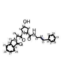 C[C@@H](C(=O)N1C[C@H](O)C[C@H]1C(=O)NC/C=C/c1ccccc1)N1Cc2ccccc2C1=O